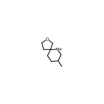 CC1CCC2(CCOC2)NC1